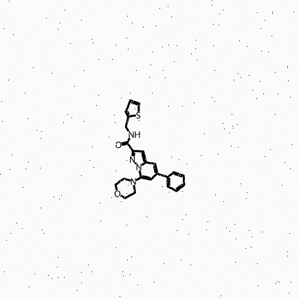 O=C(NCc1cccs1)c1cc2cc(-c3ccccc3)cc(N3CCOCC3)n2n1